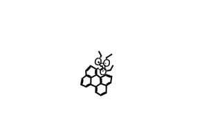 CCO[Si](OCC)(OCC)c1ccc2cccc3c4cccc5cccc(c1c23)c54